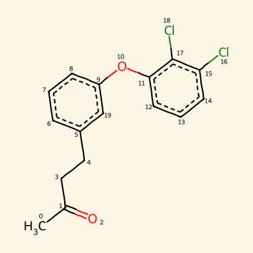 CC(=O)CCc1cccc(Oc2cccc(Cl)c2Cl)c1